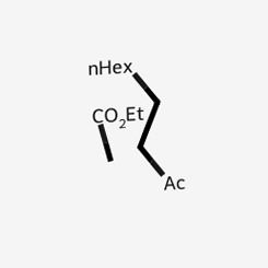 CCCCCCCCC(C)=O.CCOC(C)=O